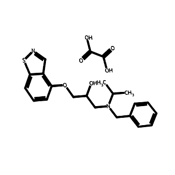 CC(C)N(Cc1ccccc1)CC(O)COc1cccc2sncc12.O=C(O)C(=O)O